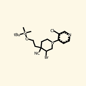 CC(C)(C)[Si](C)(C)OCCC1(C#N)CCN(c2ccncc2Cl)CC1Br